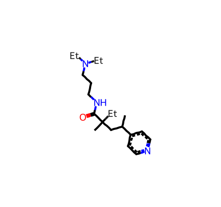 CCN(CC)CCCNC(=O)C(C)(CC)CC(C)c1ccncc1